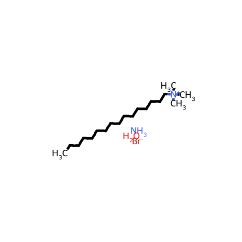 CCCCCCCCCCCCCCCC[N+](C)(C)C.N.O.[Br-]